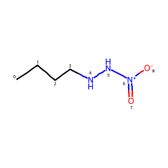 CCCCNN[N+](=O)[O-]